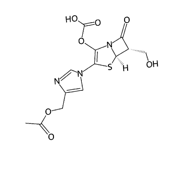 CC(=O)OCc1cn(C2=C(OC(=O)O)N3C(=O)[C@H](CO)[C@H]3S2)cn1